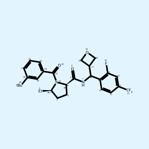 CC[C@@H]1CC[C@H](C(=O)NC(c2ccc(C(F)(F)F)cc2F)C2COC2)N1C(=O)c1cccc(C(C)(C)C)c1